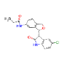 BCC(=O)Nc1ccc2c(c1)/C(=C1\C(=O)Nc3ccc(Cl)cc31)OC2